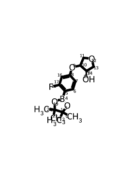 CC1(C)OB(c2ccc(OC3COC[C@H]3O)cc2F)OC1(C)C